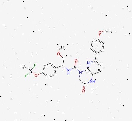 COCC(NC(=O)N1CC(=O)Nc2ccc(-c3ccc(OC)cc3)nc21)c1ccc(OC(C)(F)F)cc1